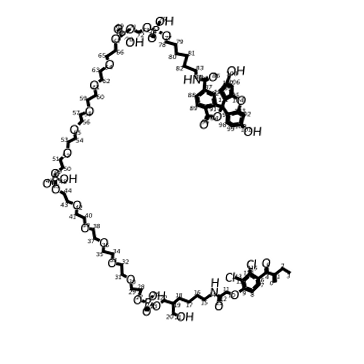 C=C(CC)C(=O)c1ccc(OCC(=O)NCCCCC(CO)COP(=O)(O)OCCOCCOCCOCCOCCOCCOP(=O)(O)OCCOCCOCCOCCOCCOCCOP(=O)(O)OCOP(=O)(O)OCCCCCCNC(=O)c2ccc3c(c2)C2(OC3=O)c3ccc(O)cc3Oc3cc(O)ccc32)c(Cl)c1Cl